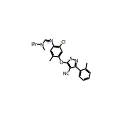 Cc1cc(/N=C\N(C)C(C)C)c(Cl)cc1Oc1snc(-c2ccccc2C)c1C#N